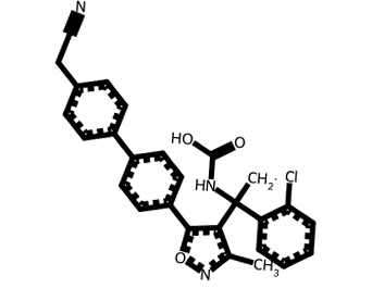 [CH2]C(NC(=O)O)(c1ccccc1Cl)c1c(C)noc1-c1ccc(-c2ccc(CC#N)cc2)cc1